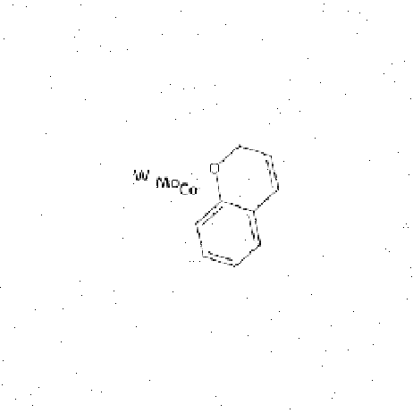 C1=Cc2ccccc2OC1.[Co].[Mo].[W]